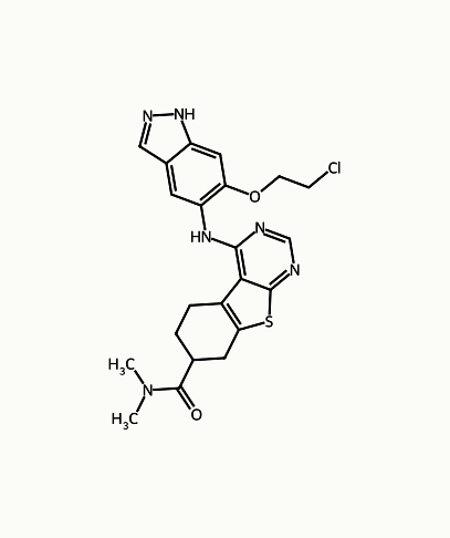 CN(C)C(=O)C1CCc2c(sc3ncnc(Nc4cc5cn[nH]c5cc4OCCCl)c23)C1